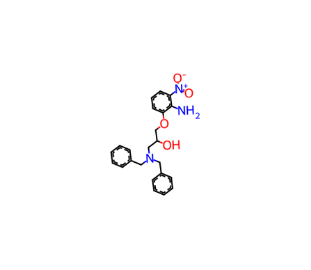 Nc1c(OCC(O)CN(Cc2ccccc2)Cc2ccccc2)cccc1[N+](=O)[O-]